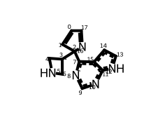 C1=CC([C]2CNC2)(c2ncnc3[nH]ccc23)N=C1